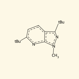 Cn1nc(C(C)(C)C)c2ccc(C(C)(C)C)nc21